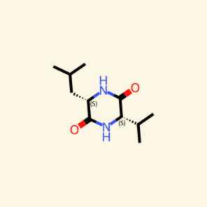 CC(C)C[C@@H]1NC(=O)[C@H](C(C)C)NC1=O